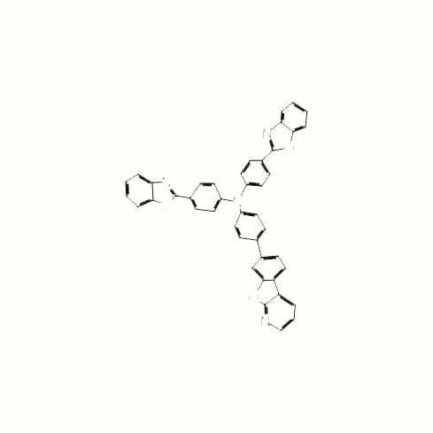 c1ccc2oc(-c3ccc(N(c4ccc(-c5ccc6c(c5)oc5ncccc56)cc4)c4ccc(-c5nc6ccccc6o5)cc4)cc3)nc2c1